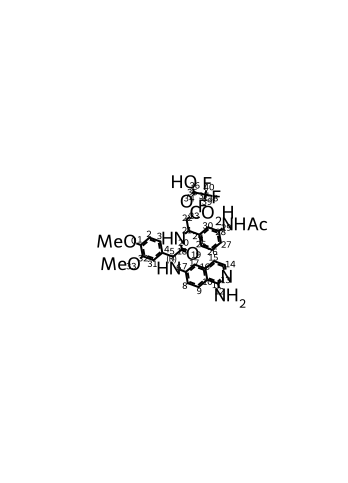 COc1ccc([C@@H](Nc2ccc3c(N)nccc3c2)C(=O)NC(CC(=O)O)c2cccc(NC(C)=O)c2)cc1OC.O=C(O)C(F)(F)F